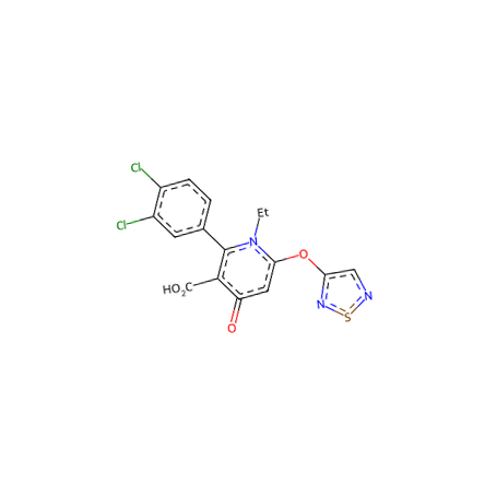 CCn1c(Oc2cnsn2)cc(=O)c(C(=O)O)c1-c1ccc(Cl)c(Cl)c1